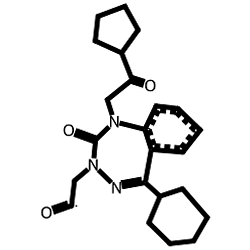 O=[C]CN1N=C(C2CCCCC2)c2ccccc2N(CC(=O)C2CCCC2)C1=O